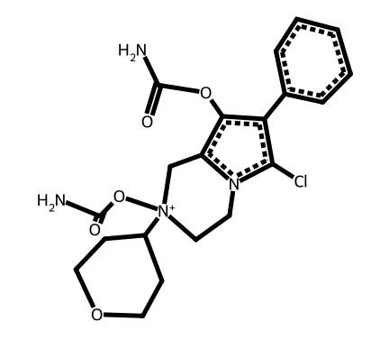 NC(=O)Oc1c(-c2ccccc2)c(Cl)n2c1C[N+](OC(N)=O)(C1CCOCC1)CC2